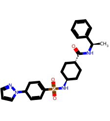 C[C@@H](NC(=O)[C@H]1CC[C@H](NS(=O)(=O)C2=CCC(n3cccn3)C=C2)CC1)c1ccccc1